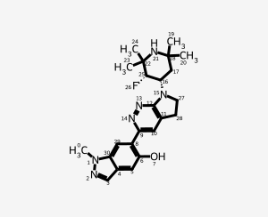 Cn1ncc2cc(O)c(-c3cc4c(nn3)N([C@H]3CC(C)(C)NC(C)(C)[C@H]3F)CC4)cc21